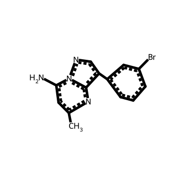 Cc1cc(N)n2ncc(-c3cccc(Br)c3)c2n1